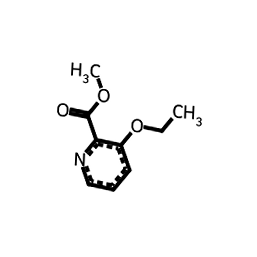 CCOc1cccnc1C(=O)OC